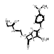 C[S+]([O-])c1ccc(OC2=C(C(=O)O)N3C(=O)[C@H](CCOC(=O)CN)C3S2)cc1